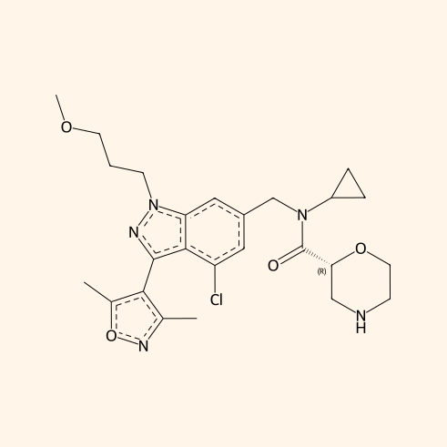 COCCCn1nc(-c2c(C)noc2C)c2c(Cl)cc(CN(C(=O)[C@H]3CNCCO3)C3CC3)cc21